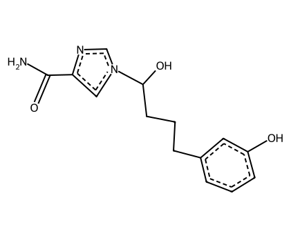 NC(=O)c1cn(C(O)CCCc2cccc(O)c2)cn1